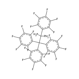 Fc1c(F)c(F)c(C(P)(P)C(c2c(F)c(F)c(F)c(F)c2F)(c2c(F)c(F)c(F)c(F)c2F)c2c(F)c(F)c(F)c(F)c2F)c(F)c1F